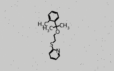 Cc1ccccc1C(C)(C)OCCSc1ccccn1